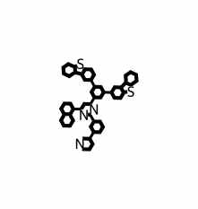 c1cncc(-c2cccc(-c3nc(-c4cc(-c5ccc6sc7ccccc7c6c5)cc(-c5ccc6sc7ccccc7c6c5)c4)cc(-c4cccc5ccccc45)n3)c2)c1